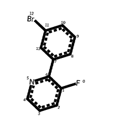 Fc1cccnc1-c1cc[c]c(Br)c1